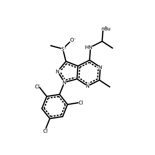 CCCCC(C)Nc1nc(C)nc2c1c([S+](C)[O-])nn2-c1c(Cl)cc(Cl)cc1Cl